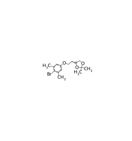 Cc1cc(OCC[C@H]2COC(C)(C)O2)cc(C)c1Br